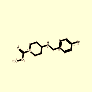 CC(C)(C)OC(=O)N1CCC(NCc2ccc(Br)cc2)CC1